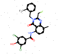 Cc1ccc(NC(=O)c2cc(Cl)c(O)c(Cl)c2)c2c(=O)n(Cc3ccccc3C(F)(F)F)c(CF)nc12